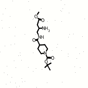 COC(=O)CC(N)CNC(=O)C1CCN(C(=O)OC(C)(C)C)CC1